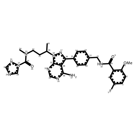 COc1ccc(F)cc1C(=O)NCc1ccc(-c2nn(C(C)CCN(C)C(=O)n3cncn3)c3ncnc(N)c23)cc1